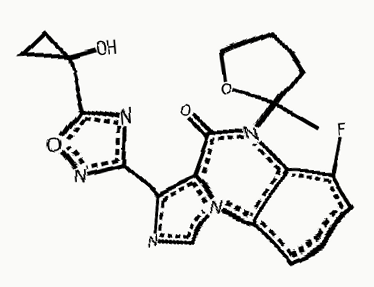 CC1(n2c(=O)c3c(-c4noc(C5(O)CC5)n4)ncn3c3cccc(F)c32)CCCO1